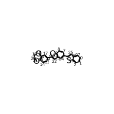 c1ccc2sc(-c3ccc4oc(-c5ccc6c(c5)OCCO6)cc4c3)cc2c1